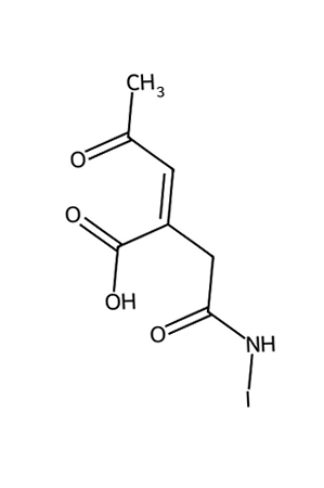 CC(=O)/C=C(/CC(=O)NI)C(=O)O